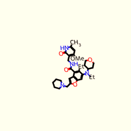 CCc1c(N(CC)C2CCOCC2)cc2oc(CN3CCCCC3)cc2c1C(=O)NCc1c(OC)cc(C)[nH]c1=O